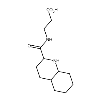 O=C(O)CCNC(=O)C1CCC2CCCCC2N1